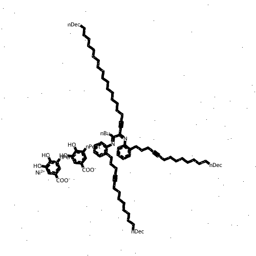 CCCCCCCCCCCCCCCCCCC#CCCCc1ccccc1N=C(C#CCCCCCCCCCCCCCCCCCCCCCCCCCCC)C(CCCC)=Nc1ccccc1CCCC#CCCCCCCCCCCCCCCCCCC.CCCCCc1cc(C(=O)[O-])cc(O)c1O.CCCCCc1cc(C(=O)[O-])cc(O)c1O.[Ni+2]